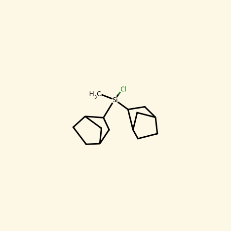 C[Si](Cl)(C1CC2CCC1C2)C1CC2CCC1C2